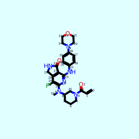 C=CC(=O)N1CCCC(N(C)c2nc(Nc3ccc(N4CCOCC4)cc3)c3c(c2F)CNC3=O)C1